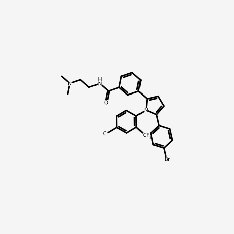 CN(C)CCNC(=O)c1cccc(-c2ccc(-c3ccc(Br)cc3)n2-c2ccc(Cl)cc2C(F)(F)F)c1